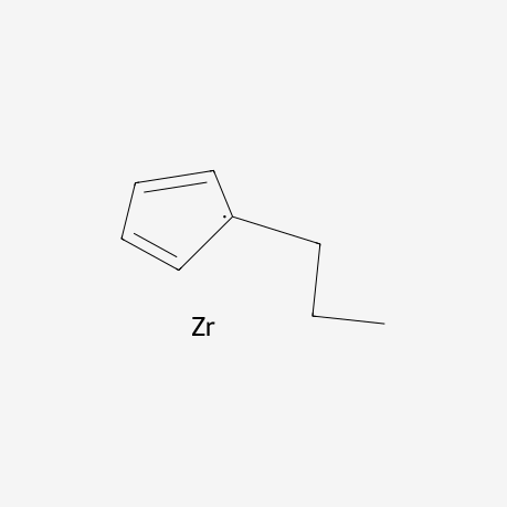 CCC[C]1C=CC=C1.[Zr]